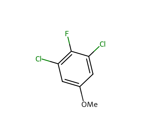 COc1cc(Cl)c(F)c(Cl)c1